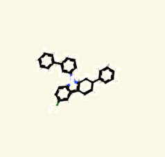 Clc1ccc2c(c1)c1c(n2-c2cccc(-c3ccccc3)c2)CC(c2ccccc2)C=C1